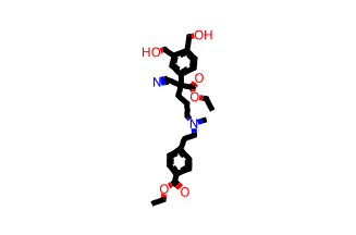 CCOC(=O)c1ccc(CCN(C)CCCC(C#N)(C(=O)OCC)c2ccc(CO)c(CO)c2)cc1